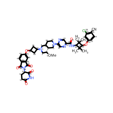 COCCN(CC1CCN(c2cnc(C(=O)NC3C(C)(C)C(Oc4ccc(C#N)c(Cl)c4)C3(C)C)cn2)CC1)C1CC(Oc2ccc3c(c2)C(=O)N([C@@H]2CCC(=O)NC2=O)C3=O)C1